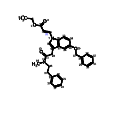 CCOC(=O)/C=C/n1cc(CC(=O)N(C)CCc2ccccc2)c2cc(OCc3ccccc3)ccc21